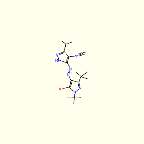 [C-]#[N+]c1c(C(C)C)n[nH]c1/N=N/c1c(C(C)(C)C)nn(C(C)(C)C)c1O